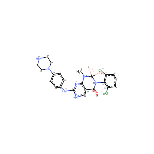 BC1(B)N(C)c2nc(Nc3ccc(N4CCNCC4)cc3)ncc2C(=O)N1c1c(Cl)cccc1Cl